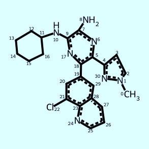 Cn1ccc(-c2nc(N)c(NC3CCCCC3)nc2-c2cc(Cl)c3ncccc3c2)n1